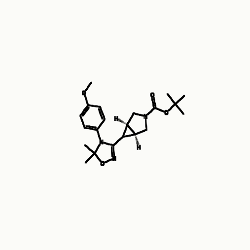 COc1ccc(N2C(C3[C@H]4CN(C(=O)OC(C)(C)C)C[C@@H]34)=NOC2(C)C)cc1